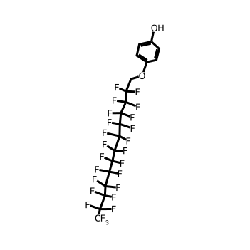 Oc1ccc(OCC(F)(F)C(F)(F)C(F)(F)C(F)(F)C(F)(F)C(F)(F)C(F)(F)C(F)(F)C(F)(F)C(F)(F)C(F)(F)C(F)(F)F)cc1